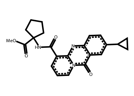 COC(=O)C1(NC(=O)c2cccn3c(=O)c4cc(C5CC5)ccc4nc23)CCCC1